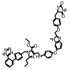 CCCc1nc(CNc2ccc(Oc3ccc4nc(COc5ccc(CC6SC(=O)NC6=O)cc5)n(C)c4c3)cc2)c(C(=O)OCC)n1Cc1ccc(-c2ccccc2-c2nnn[nH]2)cc1